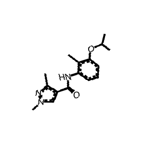 Cc1nn(C)cc1C(=O)Nc1cccc(OC(C)C)c1C